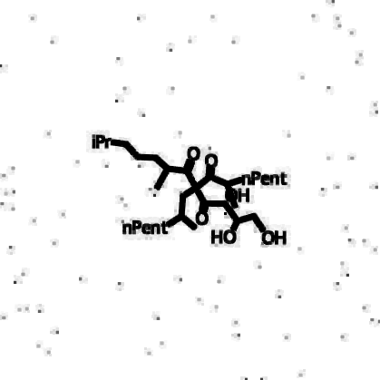 CCCCCC(C)CC(C(=O)C(C)CCCCC)(C(=O)C(C)CCCC(C)C)C(=O)C(O)C(O)CO